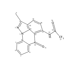 Cc1nn2c3ccccc3c(=O)c3c(NC(=O)C(F)(F)F)ccc1c32